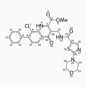 COC(=O)c1[nH]c2c(Cl)c(-c3ccccc3)ccc2c(=O)c1CNC(=O)c1cnc(N2CCOCC2)s1